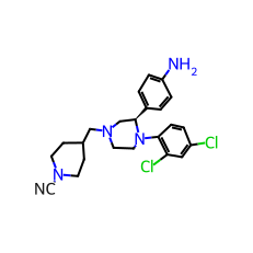 N#CN1CCC(CN2CCN(c3ccc(Cl)cc3Cl)[C@H](c3ccc(N)cc3)C2)CC1